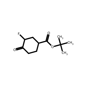 CC(C)(C)OC(=O)C1CCC(=O)C(F)C1